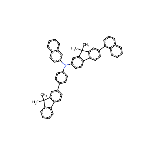 CC1(C)c2ccccc2-c2ccc(-c3ccc(N(c4ccc5c(c4)C(C)(C)c4cc(-c6cccc7ccccc67)ccc4-5)c4ccc5ccccc5c4)cc3)cc21